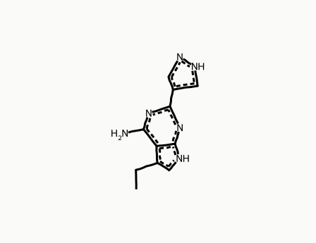 CCc1c[nH]c2nc(-c3cn[nH]c3)nc(N)c12